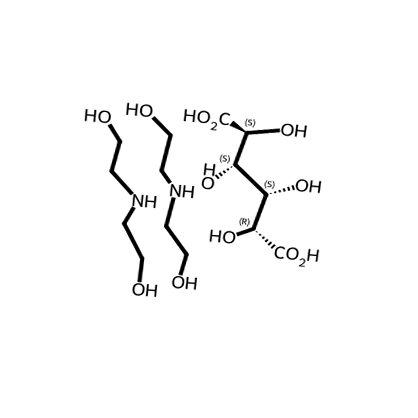 O=C(O)[C@@H](O)[C@@H](O)[C@H](O)[C@@H](O)C(=O)O.OCCNCCO.OCCNCCO